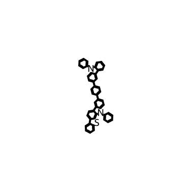 c1ccc(-n2c3ccccc3c3cc(-c4ccc(-c5ccc6c(c5)c5ccc7c8ccccc8sc7c5n6-c5ccccc5)cc4)ccc32)cc1